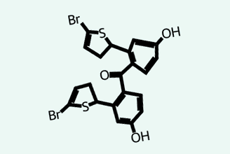 O=C(c1ccc(O)cc1C1CC=C(Br)S1)c1ccc(O)cc1C1CC=C(Br)S1